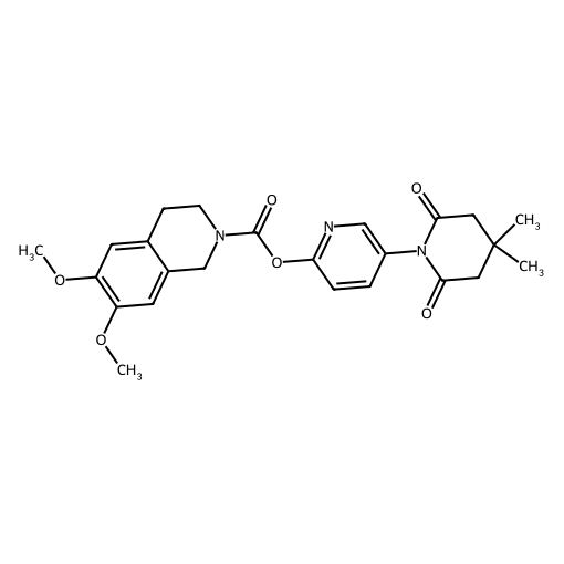 COc1cc2c(cc1OC)CN(C(=O)Oc1ccc(N3C(=O)CC(C)(C)CC3=O)cn1)CC2